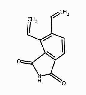 C=Cc1ccc2c(c1C=C)C(=O)NC2=O